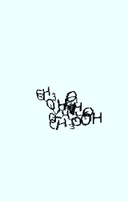 COCCOCc1cc2c(cc1OC)-c1cc(=O)c(C(=O)O)cn1[C@@H]1CCOC[C@@H]21